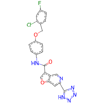 O=C(Nc1ccc(OCc2ccc(F)cc2Cl)cc1)c1coc2cc(-c3nnn[nH]3)ncc12